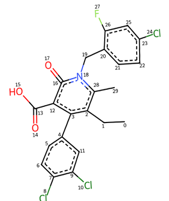 CCc1c(-c2ccc(Cl)c(Cl)c2)c(C(=O)O)c(=O)n(Cc2ccc(Cl)cc2F)c1C